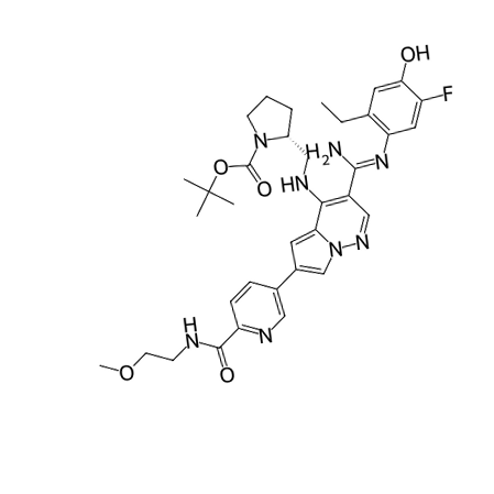 CCc1cc(O)c(F)cc1/N=C(\N)c1cnn2cc(-c3ccc(C(=O)NCCOC)nc3)cc2c1NC[C@H]1CCCN1C(=O)OC(C)(C)C